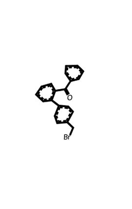 O=C(c1ccccc1)c1ccccc1-c1ccc(CBr)cc1